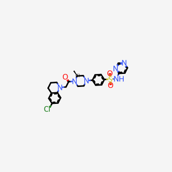 C[C@H]1CN(c2ccc(S(=O)(=O)Nc3ccncn3)cc2)CCN1C(=O)CN1CCCc2cc(Cl)ccc21